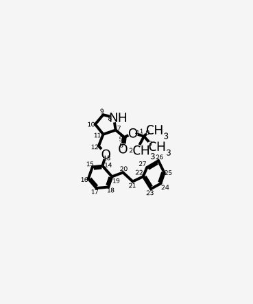 CC(C)(C)OC(=O)C1NCCC1COc1ccccc1CCc1ccccc1